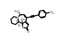 Cc1ccc(C#CC2=C[C@H](C)N3CCCC[C@@H]3[C@@]3(C)OC(=O)C=C23)cc1